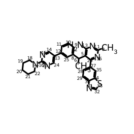 Cc1nc(N)c(C(C)c2cccc(-c3cnc(N4CCCCC4)nc3)c2)c(-c2ccc3ncsc3c2)n1